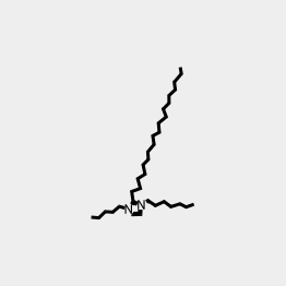 CCCCCCCCCCCCCCCCCCCc1n(CCCCC)cc[n+]1CCCCCCC